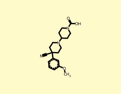 COc1cccc(C2(C#N)CCN(C3CCN(C(=O)O)CC3)CC2)c1